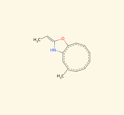 C/C=C1\Nc2cc(C)ccccccc2O1